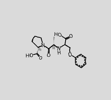 C[C@H](NC(COc1ccccc1)C(=O)O)C(=O)N1CCC[C@H]1C(=O)O